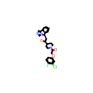 O=C(CC1c2ccccc2-c2cncn21)C1CCN(C(=O)COc2ccc(F)c(Cl)c2)CC1